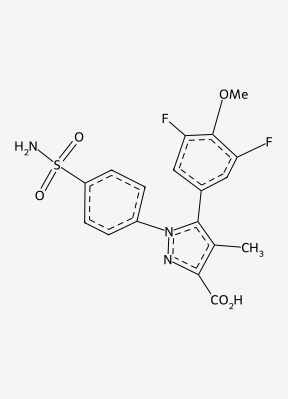 COc1c(F)cc(-c2c(C)c(C(=O)O)nn2-c2ccc(S(N)(=O)=O)cc2)cc1F